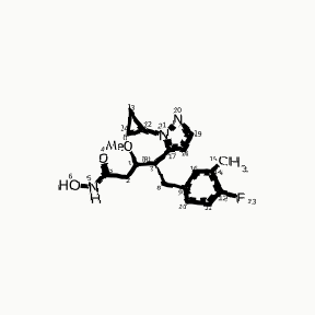 COC(CC(=O)NO)[C@H](Cc1ccc(F)c(C)c1)c1ccnn1C1CC1